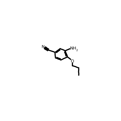 CCCOc1ccc(C#N)cc1N